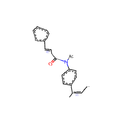 [CH2]/C=C(/C)c1ccc(N(C(C)=O)C(=O)/C=C/c2ccccc2)cc1